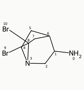 NC1CN2CCC1CC2(Br)Br